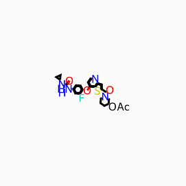 CC(=O)OC1CCCN(C(=O)c2cc3nccc(Oc4ccc(NC(=O)NC5CC5)cc4F)c3s2)C1